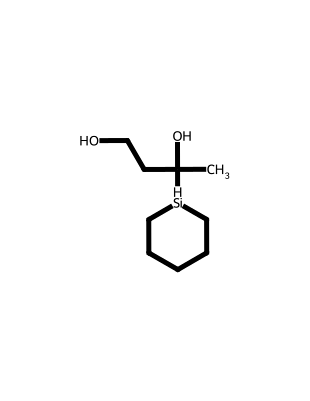 CC(O)(CCO)[SiH]1CCCCC1